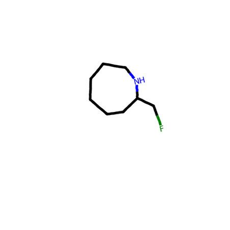 FCC1CCCCCCN1